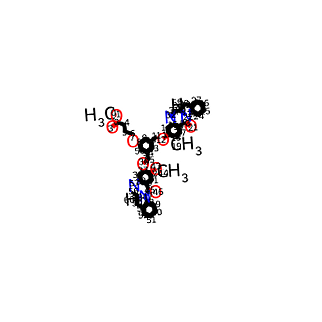 COC(=O)CCCOc1cc(COc2cc3c(cc2C)C(=O)N2c4ccccc4C[C@H]2C=N3)cc(COc2cc3c(cc2OC)C(=O)N2c4ccccc4C[C@H]2C=N3)c1